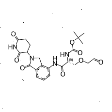 CC(C)(C)OC(=O)N[C@H](COCC=O)C(=O)Nc1cccc2c1CN(C1CCC(=O)NC1=O)C2=O